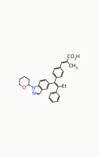 CCC(=C(c1ccc(C=C(C)C(=O)O)cc1)c1ccc2c(cnn2C2CCCCO2)c1)c1ccccc1